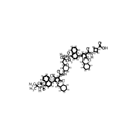 CC(C)(C)NS(=O)(=O)c1ccc(-c2c(Cl)c(C(=O)NC3CCOC(CC(C)(C)NS(=O)(=O)c4ccc(-c5cc(C(=O)N[C@H]6C[C@H](C(=O)O)C6)c(Cl)n5CC5CCCCC5)c5ccccc45)C3)c(Cl)n2CC2CCCCC2)c2ccccc12